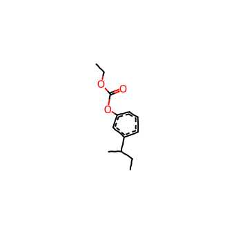 CCOC(=O)Oc1cccc(C(C)CC)c1